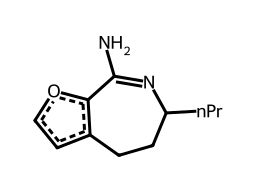 CCCC1CCc2ccoc2C(N)=N1